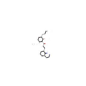 COc1cc(O)c(CC=C(C)C)c(O)c1C(=O)/C=C/c1cccc2cccnc12